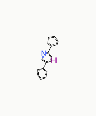 I.c1ccc(-c2ccc(-c3ccccc3)nc2)cc1